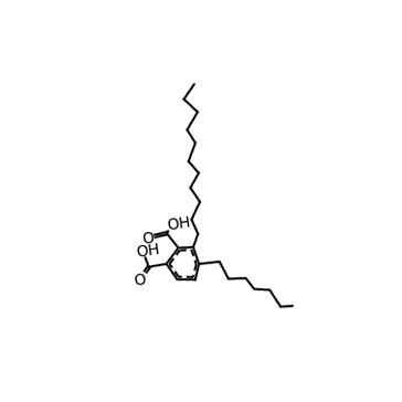 CCCCCCCCCCCc1c(CCCCCCC)ccc(C(=O)O)c1C(=O)O